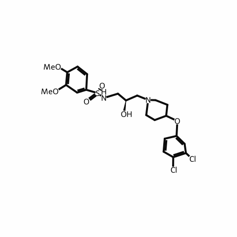 COc1ccc(S(=O)(=O)NC[C@H](O)CN2CCC(Oc3ccc(Cl)c(Cl)c3)CC2)cc1OC